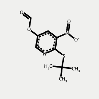 CC(C)(C)Sc1ncc(OC=O)cc1[N+](=O)[O-]